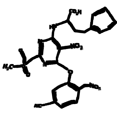 CS(=O)(=O)c1nc(NC(Cc2ccccc2)C(=O)O)c([N+](=O)[O-])c(Oc2cc(C#N)ccc2[N+](=O)[O-])n1